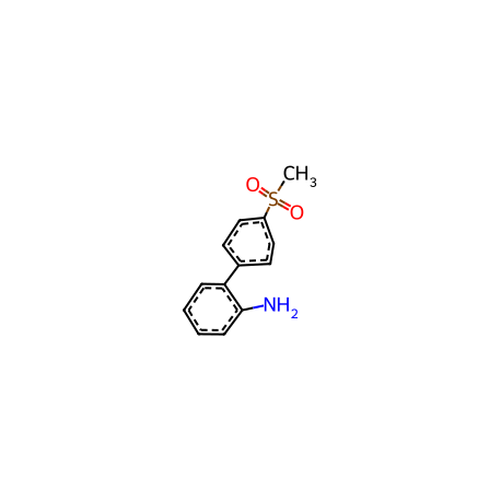 CS(=O)(=O)c1ccc(-c2ccccc2N)cc1